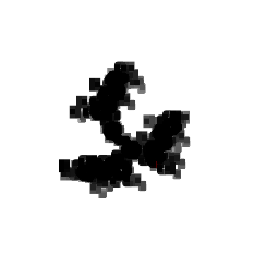 C[C@@H]1CC[C@]2(C(=O)Oc3cc(/C=C/c4ccc(OC(=O)[C@@]56CC[C@H](C)[C@@H](C)C5C5=CCC7[C@]8(C)CC[C@@H](O)C(C)(C)C8CC[C@]7(C)[C@@]5(C)CC6)cc4)cc(OC(=O)[C@]45CC[C@@H](C)[C@H](C)C4C4=CCC6[C@@]7(C)CC[C@H](O)C(C)(C)C7CC[C@@]6(C)[C@]4(C)CC5)c3)CC[C@]3(C)C(=CCC4[C@@]5(C)CC[C@H](O)C(C)(C)C5CC[C@]43C)C2[C@H]1C